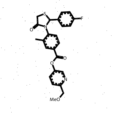 COCc1ccc(OC(=O)c2ccc(N3C(=O)CSC3c3ccc(F)cc3)c(C)c2)cn1